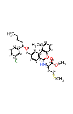 CCCCC(OCc1ccc(C(=O)NC(CCSC)C(=O)OC)c(-c2ccccc2C)c1)c1cccc(Cl)c1